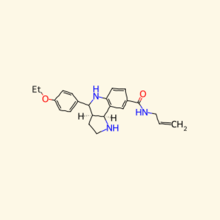 C=CCNC(=O)c1ccc2c(c1)[C@H]1NCC[C@H]1C(c1ccc(OCC)cc1)N2